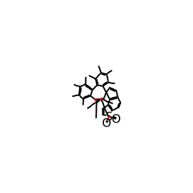 Cc1c(C)c(C)c2c(c1C)-c1c(C)c(C)c(C)c(C)c1C1(C=Cc3ccc4c(c31)C=CS4(=O)=O)c1c(C)c(C)c(C)c(C)c1-2